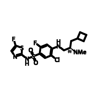 CN[C@H](CNc1cc(F)c(S(=O)(=O)Nc2ncc(F)s2)cc1Cl)CC1CCC1